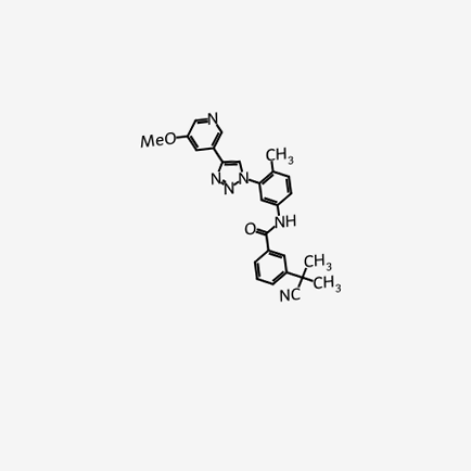 COc1cncc(-c2cn(-c3cc(NC(=O)c4cccc(C(C)(C)C#N)c4)ccc3C)nn2)c1